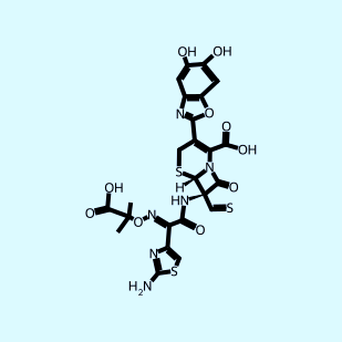 CC(C)(ON=C(C(=O)N[C@]1(C=S)C(=O)N2C(C(=O)O)=C(c3nc4cc(O)c(O)cc4o3)CS[C@H]21)c1csc(N)n1)C(=O)O